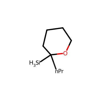 CCCC1([SiH3])CCCCO1